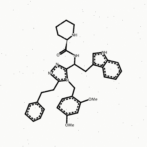 COc1ccc(Cn2c(CCc3ccccc3)nnc2C(Cc2c[nH]c3ccccc23)NC(=O)[C@H]2CCCCN2)c(OC)c1